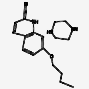 C1CNCCN1.CCCCOc1ccc2ccc(=O)[nH]c2c1